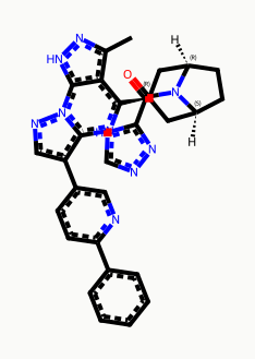 Cc1n[nH]c2c1c([C@H]1C[C@H]3CC[C@@H](C1)N3C(=O)c1nnc[nH]1)nc1c(-c3ccc(-c4ccccc4)nc3)cnn12